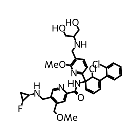 COCc1cc(C(=O)NC2(c3ccc(CNC(CO)CO)c(OC)n3)C=CC=C(c3ccccc3Cl)C2Cl)ncc1CN[C@@H]1C[C@@H]1F